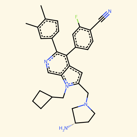 Cc1ccc(-c2ncc3c(cc(CN4CC[C@H](N)C4)n3CC3CCC3)c2-c2ccc(C#N)c(F)c2)cc1C